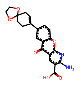 Nc1nc2oc3ccc(C4=CCC5(CC4)OCCO5)cc3c(=O)c2cc1C(=O)O